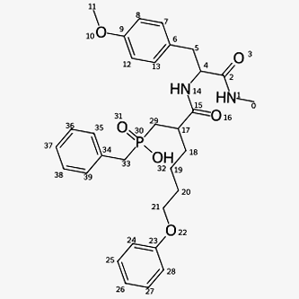 CNC(=O)C(Cc1ccc(OC)cc1)NC(=O)C(CCCCOc1ccccc1)CP(=O)(O)Cc1ccccc1